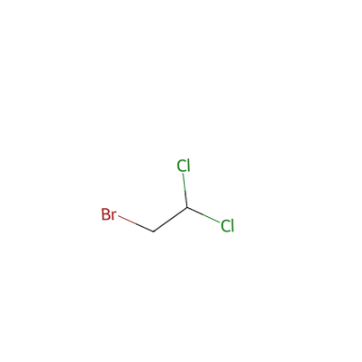 ClC(Cl)CBr